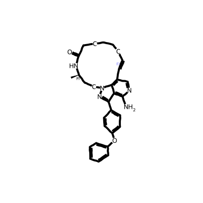 C[C@@H]1CCn2nc(-c3ccc(Oc4ccccc4)cc3)c3c(N)ncc(c32)/C=C/CCCCCC(=O)N1